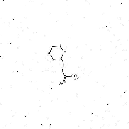 CC(=O)C(CCC1CCCCC1)C(=O)O